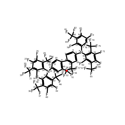 Fc1cc(N(c2ccc(-c3ccc(N(c4c(F)c(C(F)(F)F)c(F)c(F)c4C(F)(F)F)c4c(F)c(C(F)(F)F)c(F)c(F)c4C(F)(F)F)cc3C(F)(F)F)c(C(F)(F)F)c2)c2c(F)c(C(F)(F)F)c(F)c(F)c2C(F)(F)F)c(F)c(C(F)(F)F)c1F